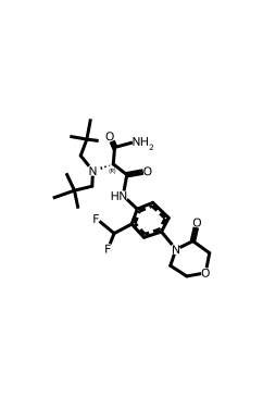 CC(C)(C)CN(CC(C)(C)C)[C@H](C(N)=O)C(=O)Nc1ccc(N2CCOCC2=O)cc1C(F)F